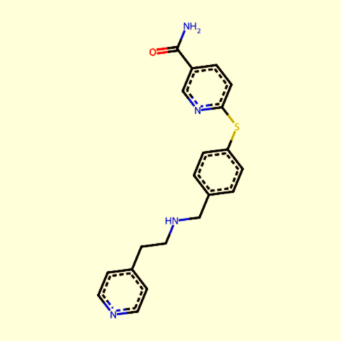 NC(=O)c1ccc(Sc2ccc(CNCCc3ccncc3)cc2)nc1